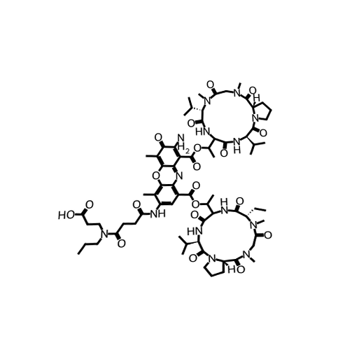 CCCN(CCC(=O)O)C(=O)CCC(=O)Nc1cc(C(=O)OC(C)C2NC(=O)[C@H](CC)N(C)C(=O)CN(C)C(=O)[C@@H]3CCCN3C(=O)[C@@H](C(C)C)NC2=O)c2nc3c(C(=O)OC(C)C4NC(=O)[C@H](C(C)C)N(C)C(=O)CN(C)C(=O)[C@@H]5CCCN5C(=O)[C@@H](C(C)C)NC4=O)c(N)c(=O)c(C)c-3oc2c1C